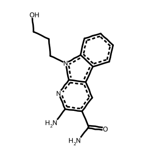 NC(=O)c1cc2c3ccccc3n(CCCO)c2nc1N